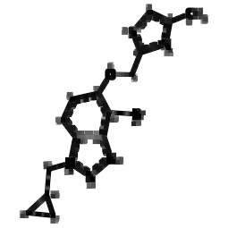 Cc1csc(COc2ccc3c(nnn3CC3CC3)c2Br)n1